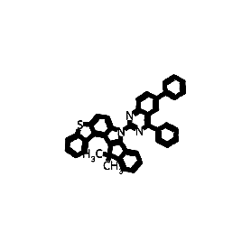 CC1(C)c2ccccc2-c2c1c1c3c(ccc1n2-c1nc(C2=C=C=CC=C2)c2cc(-c4ccccc4)ccc2n1)sc1ccccc13